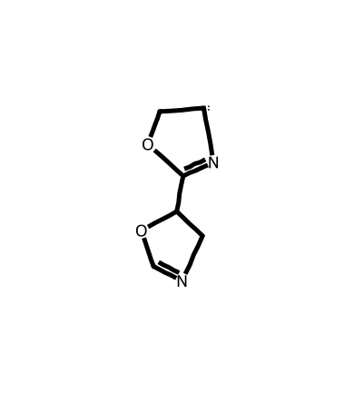 [C]1COC(C2CN=CO2)=N1